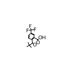 CC(C)(C)C(=O)c1ccc(C(F)(F)F)cc1C(=O)O